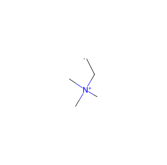 [CH2]C[N+](C)(C)C